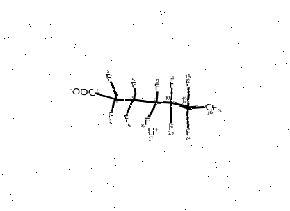 O=C([O-])C(F)(F)C(F)(F)C(F)(F)C(F)(F)C(F)(F)C(F)(F)F.[Li+]